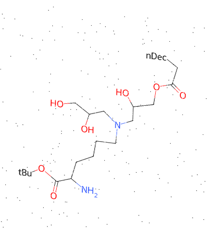 CCCCCCCCCCCC(=O)OCC(O)CN(CCCCC(N)C(=O)OC(C)(C)C)CC(O)CO